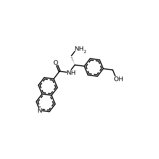 NC[C@@H](NC(=O)c1ccc2cnccc2c1)c1ccc(CO)cc1